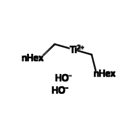 CCCCCC[CH2][Ti+2][CH2]CCCCCC.[OH-].[OH-]